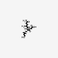 CC(C)(CCO)SC[C@H](NC(=O)[C@@H](N)CCC(N)=O)C(=O)NCC(=O)O